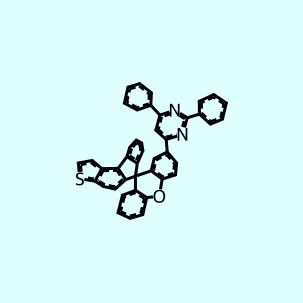 c1ccc(-c2cc(-c3ccc4c(c3)C3(c5ccccc5O4)c4ccccc4-c4c3ccc3sccc43)nc(-c3ccccc3)n2)cc1